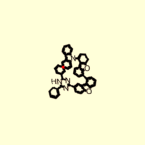 C1=CCCC(C2=NC(c3ccc4oc5cccc(-c6cccc7c8c(oc67)CCC=C8n6c7ccccc7c7ccccc76)c5c4c3)=NC(c3ccccc3)N2)=C1